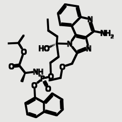 CCC[C@](O)(CCO[P@](=O)(N[C@@H](C)C(=O)OC(C)C)Oc1cccc2ccccc12)n1c(COCC)nc2c(N)nc3ccccc3c21